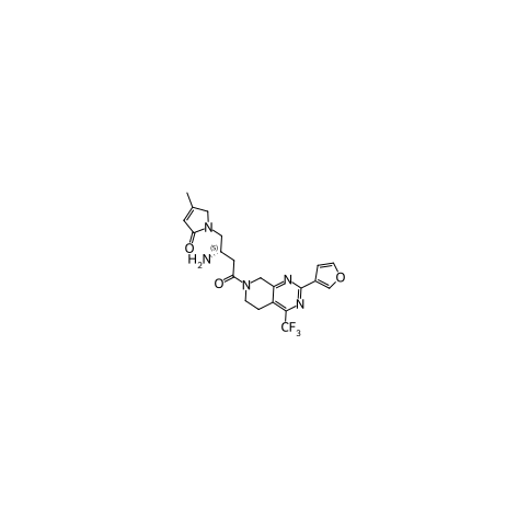 CC1=CC(=O)N(C[C@@H](N)CC(=O)N2CCc3c(nc(-c4ccoc4)nc3C(F)(F)F)C2)C1